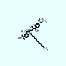 CCCCCCCCCCCC[N+]1=C(/C=C/c2c(O)c3ccc(N(CC)CC)cc3oc2=O)C(C)(C)c2cc(S(=O)(=O)O)ccc21